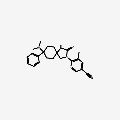 Cc1cc(C#N)cnc1N1CC2(CCC(c3ccccc3)(N(C)C)CC2)NC1=O